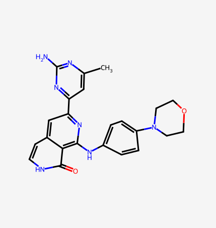 Cc1cc(-c2cc3cc[nH]c(=O)c3c(Nc3ccc(N4CCOCC4)cc3)n2)nc(N)n1